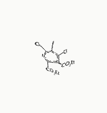 CCOC(=O)c1nc(Cl)c(C)c(Cl)c1C(=O)OCC